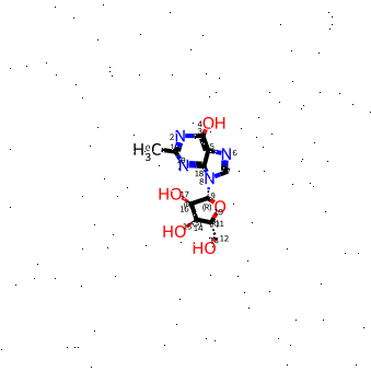 Cc1nc(O)c2ncn([C@@H]3O[C@H](CO)[C@@H](O)[C@H]3O)c2n1